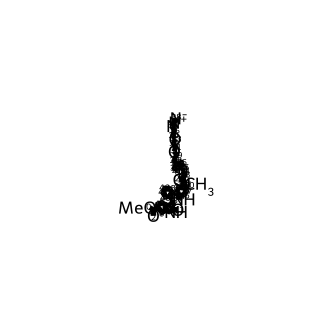 COC(=O)c1ccc2c(c1)NC(=O)/C2=C(\Nc1ccc(N(C)C(=O)CN2CCN(CCOCCOCCN=[N+]=[N-])CC2)cc1)c1ccccc1